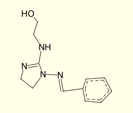 OCCNC1=NCCN1N=Cc1ccccc1